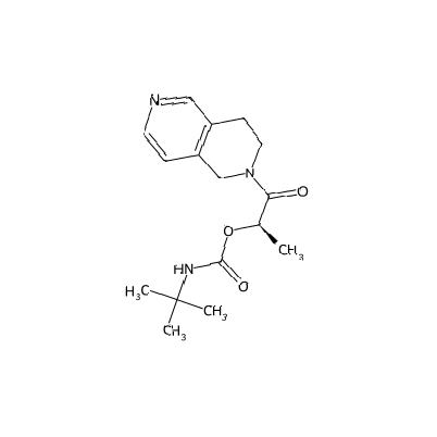 C[C@@H](OC(=O)NC(C)(C)C)C(=O)N1CCc2cnccc2C1